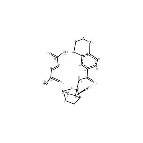 O=C(N[C@H]1CN2CCC1CC2)c1cc2c(cn1)OCCC2.O=C(O)/C=C/C(=O)O